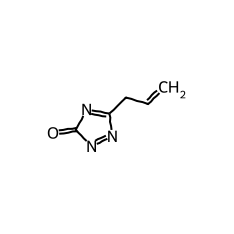 C=CCC1=NC(=O)N=N1